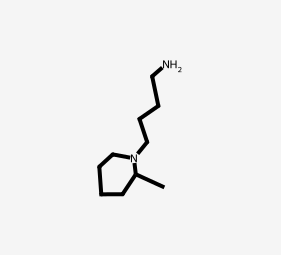 CC1CCCCN1CCCCN